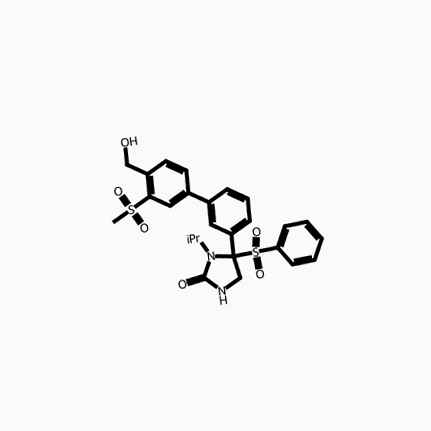 CC(C)N1C(=O)NCC1(c1cccc(-c2ccc(CO)c(S(C)(=O)=O)c2)c1)S(=O)(=O)c1ccccc1